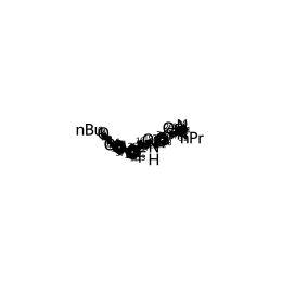 CCCCOCCOc1ccc(-c2ccc(F)c(/C(C)=C/C(=O)Nc3ccc([S@+]([O-])Cc4cncn4CCC)cc3)c2)cc1